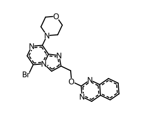 Brc1cnc(N2CCOCC2)c2nc(COc3ncc4ccccc4n3)cn12